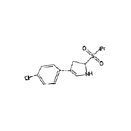 CC(C)S(=O)(=O)C1CC(c2ccc(Cl)cc2)=CN1